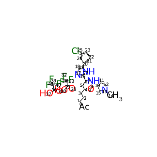 CC(=O)CCCCC[C@H](NC(=O)[C@@H]1CCN(C)C1)c1ncc(-c2cccc(Cl)c2)[nH]1.O=C(O)C(F)(F)F.O=C(O)C(F)(F)F